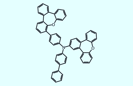 c1ccc(-c2ccc(N(c3ccc(-c4cccc5c4Oc4ccccc4-c4ccccc4-5)cc3)c3ccc4c(c3)-c3ccccc3Oc3ccccc3-4)cc2)cc1